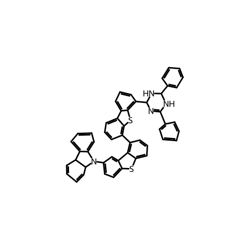 C1=CC2c3ccccc3N(c3ccc4sc5cccc(-c6cccc7c6sc6c(C8N=C(c9ccccc9)NC(c9ccccc9)N8)cccc67)c5c4c3)C2C=C1